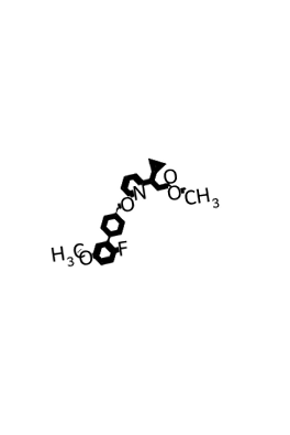 CCOC(=O)CC(c1cccc(OC[C@H]2CC[C@H](c3cc(OC)ccc3F)CC2)n1)C1CC1